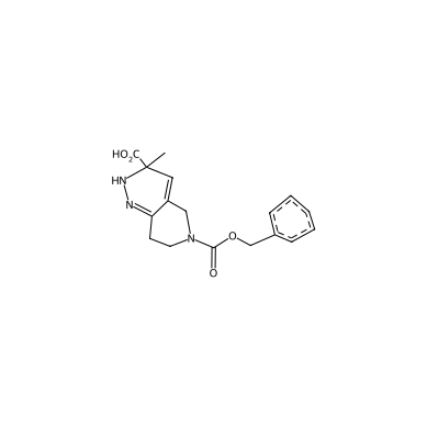 CC1(C(=O)O)C=C2CN(C(=O)OCc3ccccc3)CCC2=NN1